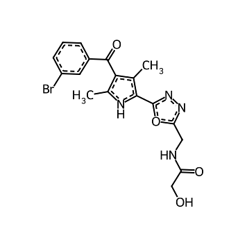 Cc1[nH]c(-c2nnc(CNC(=O)CO)o2)c(C)c1C(=O)c1cccc(Br)c1